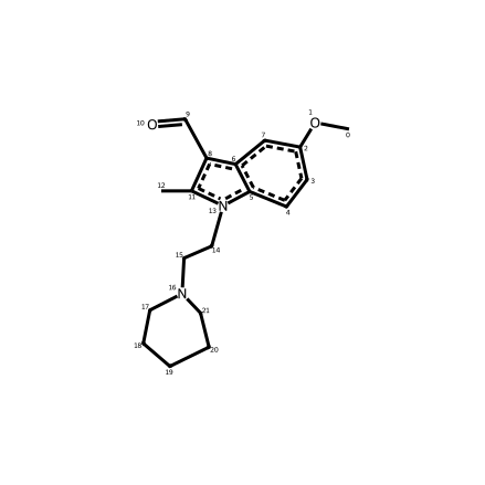 COc1ccc2c(c1)c(C=O)c(C)n2CCN1CCCCC1